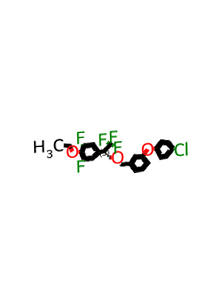 CCOc1c(F)cc([C@@H](COCc2cccc(Oc3ccc(Cl)cc3)c2)C(F)(F)F)cc1F